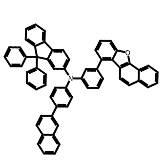 c1ccc(C2(c3ccccc3)c3ccccc3-c3ccc(N(c4ccc(-c5ccc6ccccc6c5)cc4)c4cccc(-c5cccc6oc7c8ccccc8ccc7c56)c4)cc32)cc1